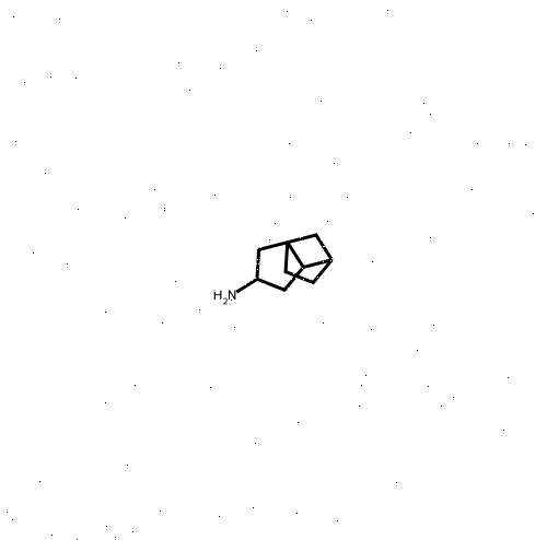 NC1CC2C3CCC2(C1)C3